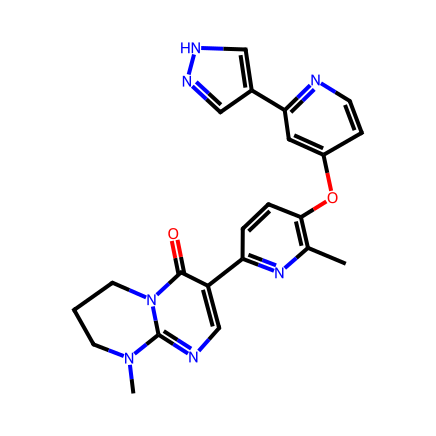 Cc1nc(-c2cnc3n(c2=O)CCCN3C)ccc1Oc1ccnc(-c2cn[nH]c2)c1